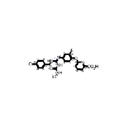 CCNC(=O)N/C(=N\c1ccc(Oc2cccc(C(=O)O)n2)c(F)c1)NCc1ccc(Cl)cc1